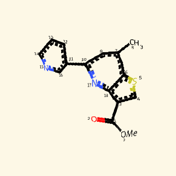 COC(=O)c1csc2c(C)cc(-c3cccnc3)nc12